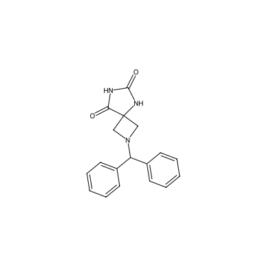 O=C1NC(=O)C2(CN(C(c3ccccc3)c3ccccc3)C2)N1